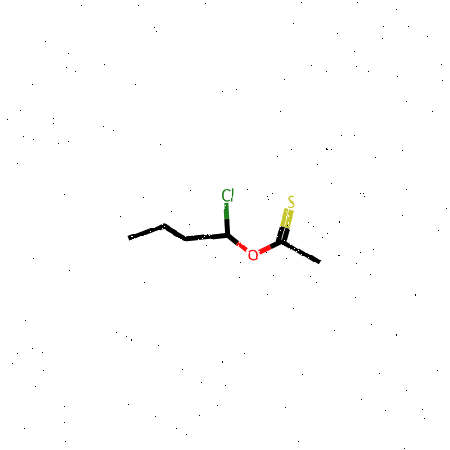 CCCC(Cl)OC(C)=S